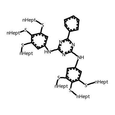 CCCCCCCSc1cc(Nc2nc(Nc3cc(SCCCCCCC)c(SCCCCCCC)c(SCCCCCCC)c3)nc(-c3cc[c]cc3)n2)cc(SCCCCCCC)c1SCCCCCCC